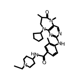 CCN1CCC(NC(=O)c2ccc(Nc3ncc4c(n3)N(C3CCCC3)CC(C)C(=O)N4C)c(C)c2)CC1